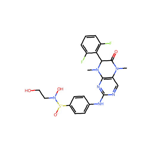 CN1C(=O)C(c2c(F)cccc2F)N(C)c2nc(Nc3ccc([S+]([O-])N(O)CCO)cc3)ncc21